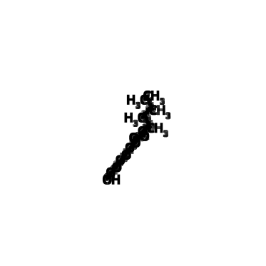 CC(C)CCCC(C)CCCC(C)CCCC(C)CCOC(=O)CCC(=O)OCCOCCOCCOCCOCCOCCO